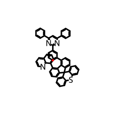 c1ccc(-c2cc(-c3ccccc3)nc(-c3cccc(-c4cccc5c4-c4c(-c6cccc7cccnc67)cccc4C54c5ccccc5Sc5ccccc54)c3)n2)cc1